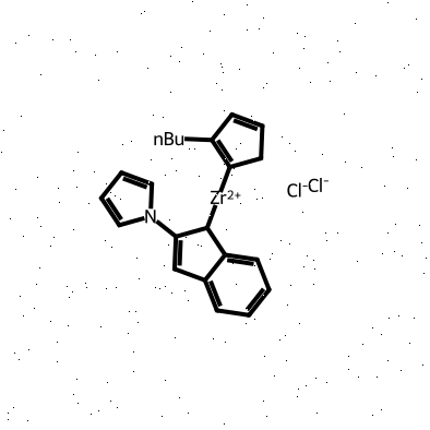 CCCCC1=[C]([Zr+2][CH]2C(n3cccc3)=Cc3ccccc32)CC=C1.[Cl-].[Cl-]